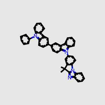 CC1(C)c2cc(-n3c4ccccc4c4cc(-c5ccc6c(c5)c5ccccc5n6-c5ccccc5)ccc43)ccc2-n2c1nc1ccccc12